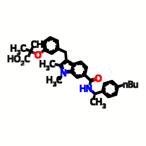 CCCCc1ccc([C@@H](C)NC(=O)c2ccc3c(Cc4cccc(OC(C)(C)C(=O)O)c4)c(C)n(C)c3c2)cc1